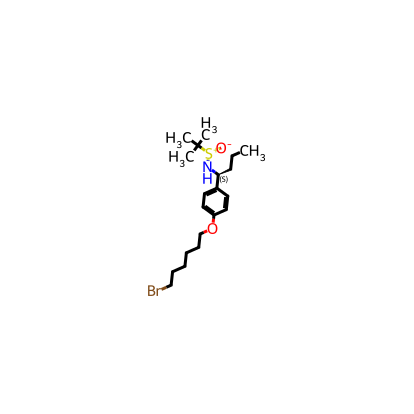 CCC[C@H](N[S+]([O-])C(C)(C)C)c1ccc(OCCCCCCBr)cc1